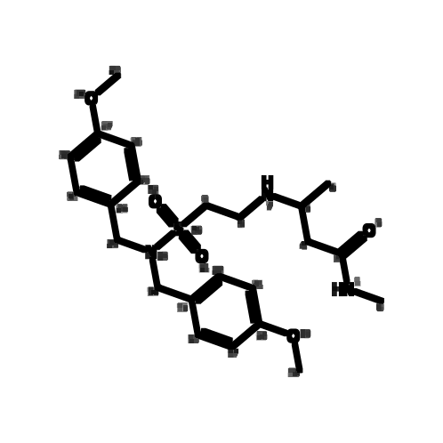 CNC(=O)CC(C)NCCS(=O)(=O)N(Cc1ccc(OC)cc1)Cc1ccc(OC)cc1